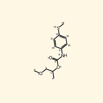 COCC(C)OC(=O)Nc1ccc(SC)cc1